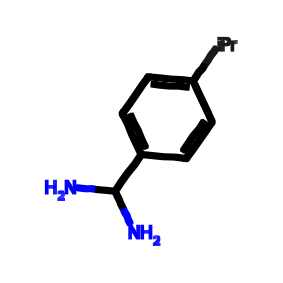 CC(C)c1ccc(C(N)N)cc1